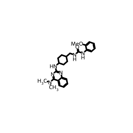 COc1ccccc1NC(=O)NCC1CCC(Nc2nc(N(C)C)c3ccccc3n2)CC1